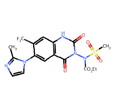 CCOC(=O)N(n1c(=O)[nH]c2cc(C(F)(F)F)c(-n3ccnc3C)cc2c1=O)S(C)(=O)=O